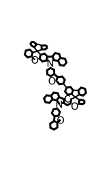 c1ccc2c(c1)Oc1cc3c(cc1C21c2ccccc2-c2ccccc21)c1ccc2ccccc2c1n3-c1ccc2oc3cc(-c4ccc5c(c4)-c4ccccc4C54c5ccccc5Oc5cc6c(cc54)c4ccc5ccccc5c4n6-c4ccc5c(c4)oc4ccccc45)ccc3c2c1